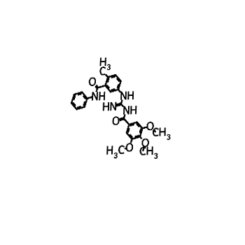 COc1cc(C(=O)NC(=N)Nc2ccc(C)c(C(=O)Nc3ccccc3)c2)cc(OC)c1OC